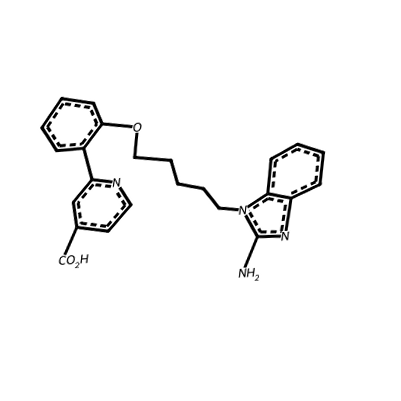 Nc1nc2ccccc2n1CCCCCOc1ccccc1-c1cc(C(=O)O)ccn1